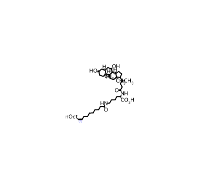 CCCCCCCC/C=C\CCCCCCCC(=O)NCCCCC(NC(=O)CC[C@@H](C)C1CC[C@H]2[C@@H]3[C@H](O)C[C@@H]4C[C@H](O)CC[C@]4(C)[C@H]3CC[C@]12C)C(=O)O